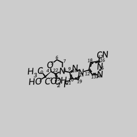 CC(O)(C(=O)O)[C@H]1OCCN(c2nn(-c3cnnc(C#N)c3)cc2F)C1=O